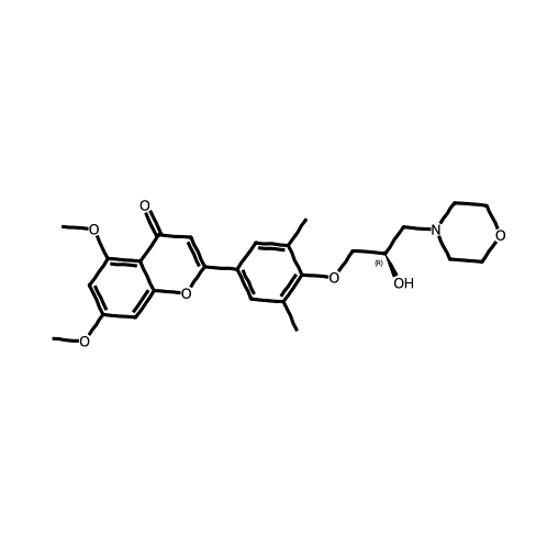 COc1cc(OC)c2c(=O)cc(-c3cc(C)c(OC[C@H](O)CN4CCOCC4)c(C)c3)oc2c1